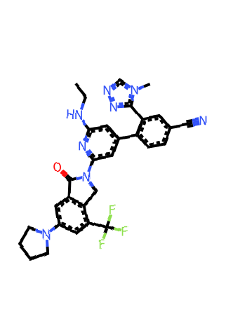 CCNc1cc(-c2ccc(C#N)cc2-c2nncn2C)cc(N2Cc3c(cc(N4CCCC4)cc3C(F)(F)F)C2=O)n1